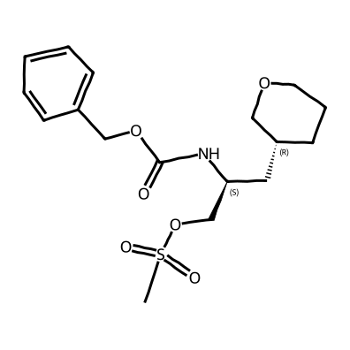 CS(=O)(=O)OC[C@H](C[C@H]1CCCOC1)NC(=O)OCc1ccccc1